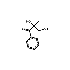 CC(O)(CS)C(=O)c1ccccc1